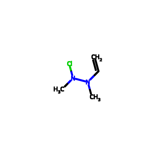 C=CN(C)N(C)Cl